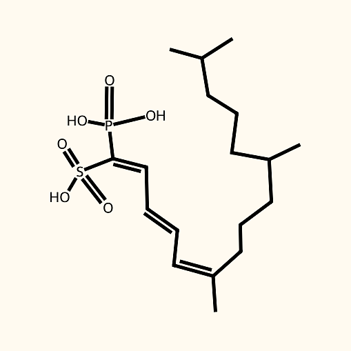 CC(=CC=CC=C(P(=O)(O)O)S(=O)(=O)O)CCCC(C)CCCC(C)C